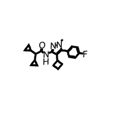 Cn1nc(NC(=O)C(C2CC2)C2CC2)c(C2CCC2)c1-c1ccc(F)cc1